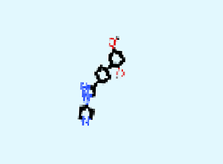 COc1ccc(OC)c(-c2ccc(-c3cn(-c4ccncc4)nn3)cc2)c1